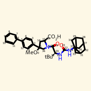 COC1(c2ccc(-c3ccccc3)cc2)CC(C(=O)O)N(C(=O)[C@@H](NC(=O)NC23CC4CC(CC(C4)C2)C3)C(C)(C)C)C1